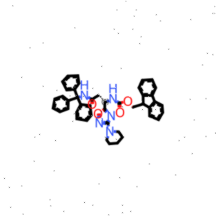 O=C(C[C@H](NC(=O)OCC1c2ccccc2-c2ccccc21)c1nc(N2CCCCC2)no1)NC(c1ccccc1)(c1ccccc1)c1ccccc1